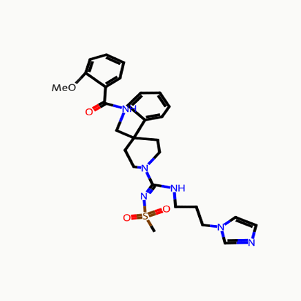 COc1ccccc1C(=O)NCC1(c2ccccc2)CCN(C(=NS(C)(=O)=O)NCCCn2ccnc2)CC1